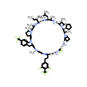 CC[C@H](C)[C@H]1CN[C@@H](CC(C)C)C(C)NCC2[C@H](C)C(C)N2[C@@H](C2CCCC2)C(C)NC2(CCC2)CNCC(F)(F)NCCC(CCc2cc(F)c(C(F)(F)F)c(F)c2)=NC=CN(C)C=C(Cc2ccc(C(F)(F)F)cc2)N(CC)C=C2CCCN2[C@@H](C)C(C)N1